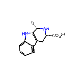 CC[C@@H]1NC(C(=O)O)Cc2c1[nH]c1ccccc21